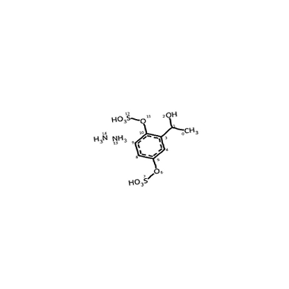 CC(O)c1cc(OS(=O)(=O)O)ccc1OS(=O)(=O)O.N.N